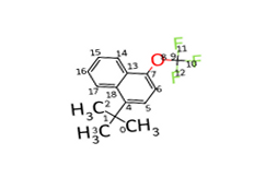 CC(C)(C)c1ccc(OC(F)(F)F)c2ccccc12